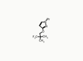 CC(C)n1ccc(OCC(C)(C)C(F)(F)F)n1